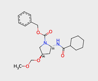 COCO[C@@H]1C[C@@H](NC(=O)C2CCCCC2)N(C(=O)OCc2ccccc2)C1